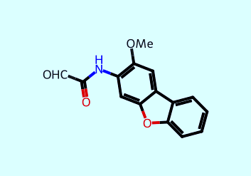 COc1cc2c(cc1NC(=O)C=O)oc1ccccc12